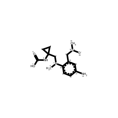 CN(CC1(NC(=O)O)CC1)c1ccc(N)cc1C[S+](C)[O-]